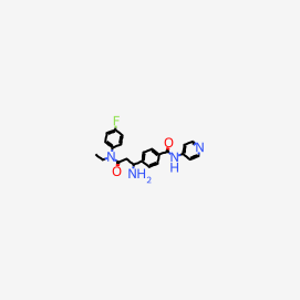 CCN(C(=O)CC(N)c1ccc(C(=O)Nc2ccncc2)cc1)c1ccc(F)cc1